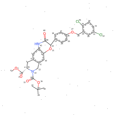 COC(=O)[C@@H]1Cc2cc3c(cc2CN1C(=O)OC(C)(C)C)OC(c1ccc(OCc2cc(Cl)ccc2Cl)cc1)C(=O)N3